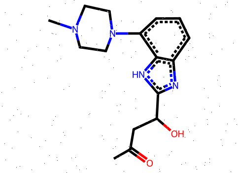 CC(=O)CC(O)c1nc2cccc(N3CCN(C)CC3)c2[nH]1